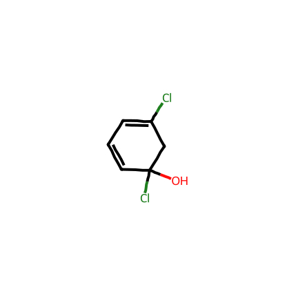 OC1(Cl)C=CC=C(Cl)C1